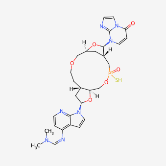 CN(C)/C=N\c1ccnc2c1ccn2[C@H]1C[C@@H]2CCOC[C@@H]3C[C@@H](CP(=O)(S)OC[C@H]2O1)[C@H](n1ccc(=O)n2ccnc12)O3